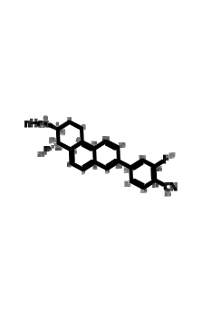 CCCCCC[C@H]1CCc2c(ccc3cc(-c4ccc(C#N)c(F)c4)ccc23)[C@@H]1F